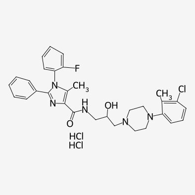 Cc1c(Cl)cccc1N1CCN(CC(O)CNC(=O)c2nc(-c3ccccc3)n(-c3ccccc3F)c2C)CC1.Cl.Cl